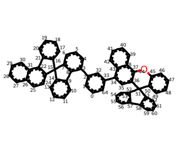 c1cc(-c2cccc3c2-c2ccccc2C32c3ccccc3-c3c2ccc2ccccc32)cc(-c2cc3c(c4ccccc24)Oc2ccccc2C32c3ccccc3-c3ccccc32)c1